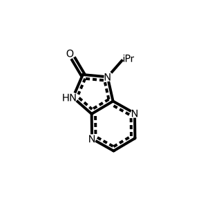 CC(C)n1c(=O)[nH]c2nccnc21